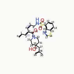 C=C/C=C(\C=C/CNS(=O)(=O)c1cccc2scnc12)C(=O)N1CCC(O)(CC(=C)C)CC1